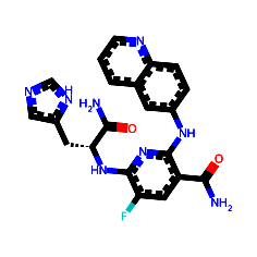 NC(=O)c1cc(F)c(N[C@H](Cc2cnc[nH]2)C(N)=O)nc1Nc1ccc2ncccc2c1